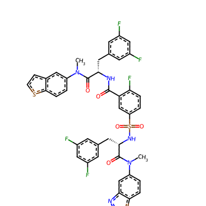 CN(C(=O)[C@H](Cc1cc(F)cc(F)c1)NC(=O)c1cc(S(=O)(=O)N[C@@H](Cc2cc(F)cc(F)c2)C(=O)N(C)c2ccc3scnc3c2)ccc1F)c1ccc2sccc2c1